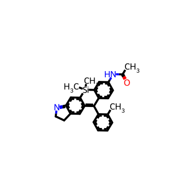 CC(=O)Nc1ccc2c(c1)[Si](C)(C)c1cc3c(cc1=C2c1ccccc1C)CCN=3